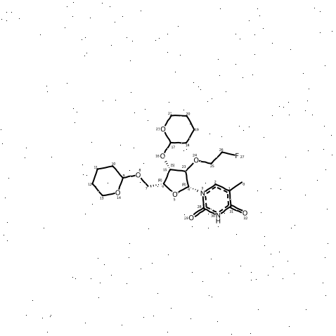 Cc1cn([C@@H]2O[C@H](COC3CCCCO3)[C@H](OC3CCCCO3)C2OCCF)c(=O)[nH]c1=O